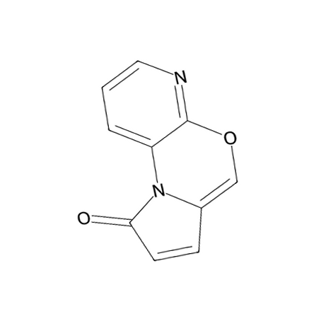 O=c1ccc2coc3ncccc3n1-2